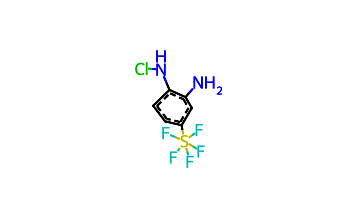 Nc1cc(S(F)(F)(F)(F)F)ccc1NCl